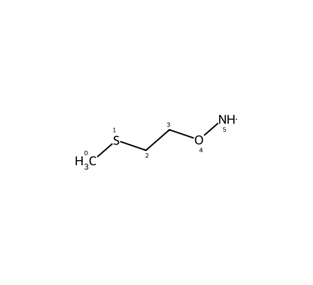 CSCCO[NH]